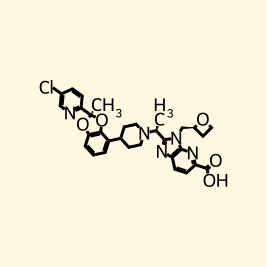 C[C@@H](c1nc2ccc(C(=O)O)nc2n1C[C@@H]1CCO1)N1CCC(c2cccc3c2O[C@](C)(c2ccc(Cl)cn2)O3)CC1